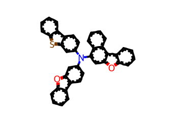 c1ccc2c(c1)oc1cc(N(c3ccc4c(c3)sc3ccccc34)c3cc4oc5ccccc5c4c4ccccc34)ccc12